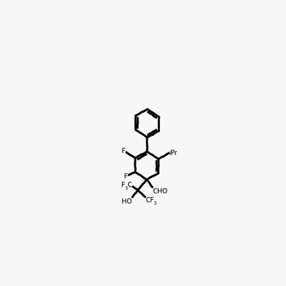 CC(C)C1=CC(C=O)(C(O)(C(F)(F)F)C(F)(F)F)C(F)C(F)=C1c1ccccc1